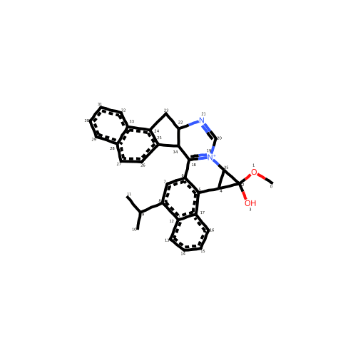 COC1(O)C2c3c(cc(C(C)C)c4ccccc34)C3=[N+](C=NC4Cc5c(ccc6ccccc56)C34)C21